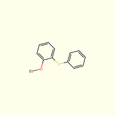 CCOc1ccccc1Sc1[c]cccc1